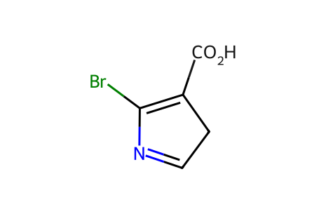 O=C(O)C1=C(Br)N=CC1